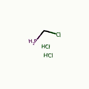 Cl.Cl.PCCl